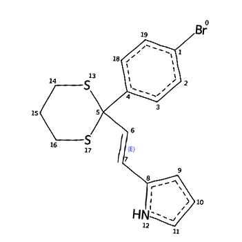 Brc1ccc(C2(/C=C/c3ccc[nH]3)SCCCS2)cc1